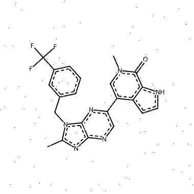 Cc1nc2ncc(-c3cn(C)c(=O)c4[nH]ccc34)nc2n1Cc1cccc(C(F)(F)F)c1